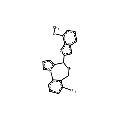 COc1cccc2cc(C3NCc4c(C)cccc4-n4cccc43)oc12